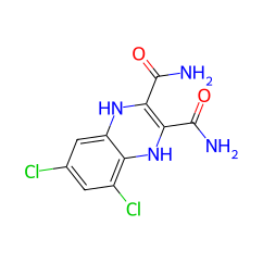 NC(=O)C1=C(C(N)=O)Nc2c(Cl)cc(Cl)cc2N1